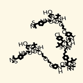 Cc1ncsc1-c1ccc(CNC(=O)[C@@H]2C[C@@H](O)CN2C(=O)[C@@H](NC(=O)COCCCOCCCOc2ccc(NC(=O)C[C@@H]3N=C(c4ccc(CCCc5nnc6n5-c5sc(C)c(C)c5C(c5ccc(Cl)cc5)=N[C@H]6CC(=O)N[C@H](C)c5ccc(OCCCOCC(=O)N[C@H](C(=O)N6C[C@H](O)C[C@H]6C(=O)NCc6ccc(-c7scnc7C)cc6)C(C)(C)C)cc5)cc4)c4c(sc(C)c4C)-n4c(C)nnc43)cc2)C(C)(C)C)cc1